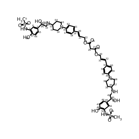 CS(=O)(=O)Nc1cc([C@@H](O)CNC2CCN(c3ccc(C=CCOC(=O)CC(=O)OCC=Cc4ccc(N5CCC(NC[C@H](O)c6ccc(O)c(NS(C)(=O)=O)c6)CC5)cc4)cc3)CC2)ccc1O